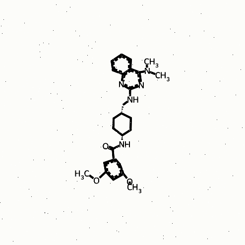 COc1cc(OC)cc(C(=O)N[C@H]2CC[C@@H](CNc3nc(N(C)C)c4ccccc4n3)CC2)c1